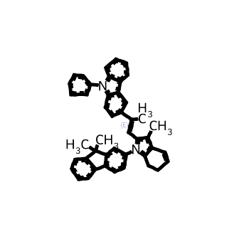 C/C(=C\c1c(C)c2c(n1-c1ccc3c(c1)C(C)(C)c1ccccc1-3)CCC=C2)c1ccc2c(c1)c1ccccc1n2-c1ccccc1